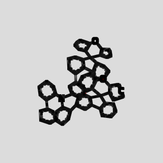 c1ccc(-c2ccccc2N(c2cccc(-c3cccc4c3-c3ccccc3C43c4ccccc4Oc4ccccc43)c2)c2ccccc2-c2ccc3c(c2)-c2ccccc2C32c3ccccc3Oc3ccccc32)cc1